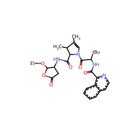 CCOC1OC(=O)CC1NC(=O)C1C(C)C(C)=CN1C(=O)C(NC(=O)c1nccc2ccccc12)C(C)(C)C